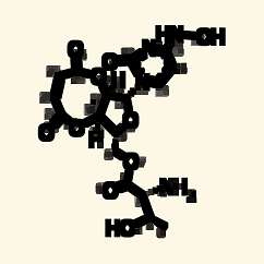 C[C@@H](O)[C@@H](N)C(=O)OC[C@H]1O[C@@H](n2ccc(NO)nc2=O)[C@@H]2OC(=O)/C=C\C(=O)O[C@@H]21